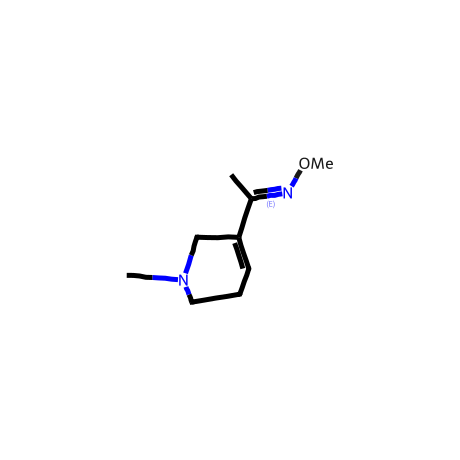 CO/N=C(\C)C1=CCCN(C)C1